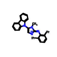 CC(C)c1cccc(C(C)C)c1N=c1[nH]cc(-n2c3ccccc3c3ccccc32)n1C